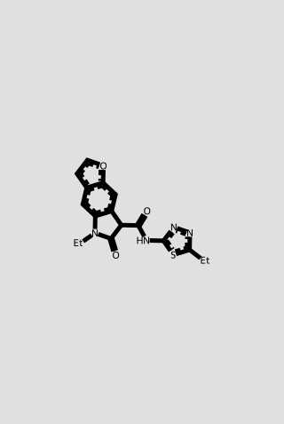 CCc1nnc(NC(=O)C2C(=O)N(CC)c3cc4ccoc4cc32)s1